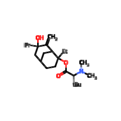 C=C1C2CC(CCC2(CC)OC(=O)C(N(C)C)C(C)(C)C)CC1(O)C(C)C